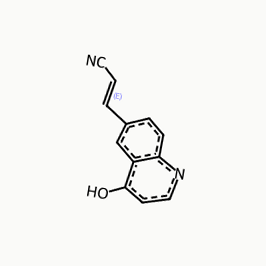 N#C/C=C/c1ccc2nccc(O)c2c1